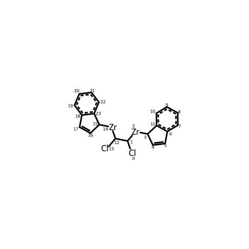 Cl[CH]([Zr][CH]1C=Cc2ccccc21)[CH](Cl)[Zr][CH]1C=Cc2ccccc21